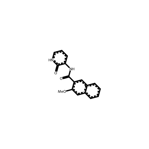 COc1cc2ccccc2cc1C(=O)Nc1ccc[nH]c1=O